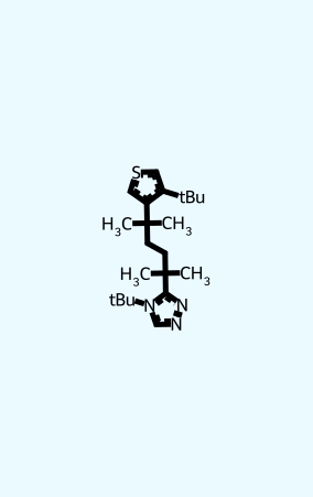 CC(C)(C)c1cscc1C(C)(C)CCC(C)(C)c1nncn1C(C)(C)C